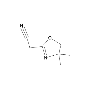 CC1(C)COC(CC#N)=N1